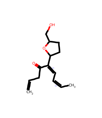 C=CCC(=O)/C(=C\C=C/C)C1CCC(CO)O1